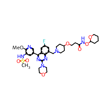 COc1ncc(-c2nc(N3CCOCC3)nc3c(CN4CCC(OCCC(=O)NOC5CCCCO5)CC4)cc(F)cc23)cc1NS(C)(=O)=O